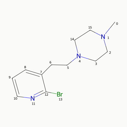 CN1CCN(CCc2cccnc2Br)CC1